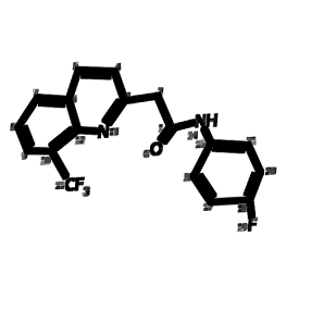 O=C(Cc1ccc2cccc(C(F)(F)F)c2n1)Nc1ccc(F)cc1